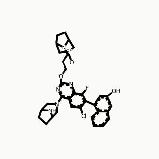 [O-][S+]1CC2CCC(C1)N2CCCOc1nc(N2CC3CCC(C2)N3)c2cc(Cl)c(-c3cc(O)cc4ccccc34)c(F)c2n1